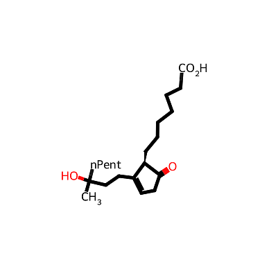 CCCCCC(C)(O)CCC1=CCC(=O)[C@@H]1CCCCCCC(=O)O